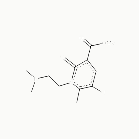 COC(=O)c1cc(Cl)c(C)n(CCN(C)C)c1=O